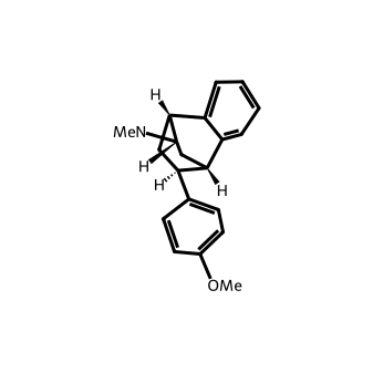 CN[C@H]1C[C@@H]2c3ccccc3[C@H]1C[C@@H]2c1ccc(OC)cc1